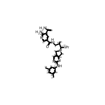 C=C(N)c1cc(C(=O)NCC(C)C(CCC)N2Cc3cnc(Nc4cc(C)cc(C)c4)nc3C2)cnc1N